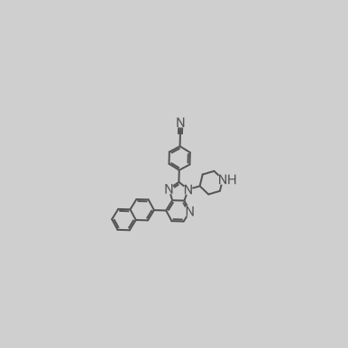 N#Cc1ccc(-c2nc3c(-c4ccc5ccccc5c4)ccnc3n2C2CCNCC2)cc1